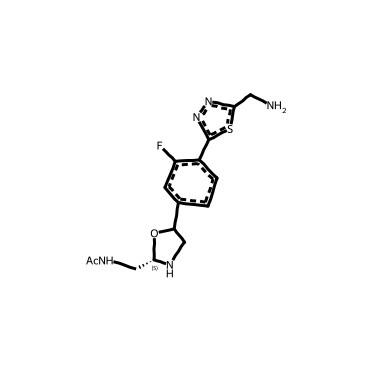 CC(=O)NC[C@H]1NCC(c2ccc(-c3nnc(CN)s3)c(F)c2)O1